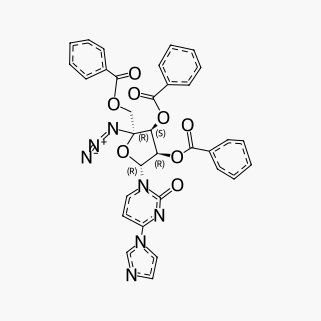 [N-]=[N+]=N[C@]1(COC(=O)c2ccccc2)O[C@@H](n2ccc(-n3ccnc3)nc2=O)[C@H](OC(=O)c2ccccc2)[C@@H]1OC(=O)c1ccccc1